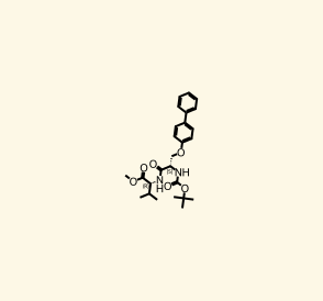 COC(=O)[C@H](NC(=O)[C@H](COc1ccc(-c2ccccc2)cc1)NC(=O)OC(C)(C)C)C(C)C